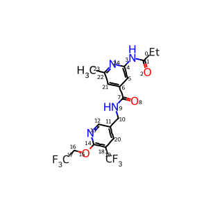 CCC(=O)Nc1cc(C(=O)NCc2cnc(OCC(F)(F)F)c(C(F)(F)F)c2)cc(C)n1